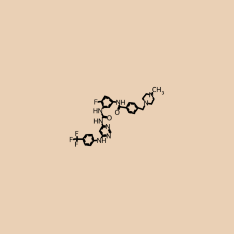 CN1CCN(Cc2ccc(C(=O)Nc3ccc(F)c(NC(=O)Nc4cc(Nc5ccc(C(F)(F)F)cc5)ncn4)c3)cc2)CC1